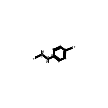 IBNc1ccc(I)cc1